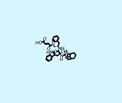 C[C@](Cc1c[nH]c2ccccc12)(NC(=O)OC1C2CCCC1CCC2)C(=O)N[C@H](CNC(=O)/C=C/C(=O)O)Cc1ccccc1